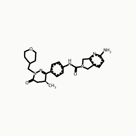 C[C@H]1CC(=O)N(CC2CCOCC2)N=C1c1ccc(NC(=O)N2Cc3ccc(N)nc3C2)cc1